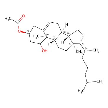 CC(=O)O[C@H]1CC2=CC[C@H]3[C@@H]4CC[C@H]([C@H](C)CCCC(C)C)[C@@]4(C)CC[C@@H]3[C@@]2(C)C(O)C1